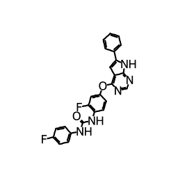 O=C(Nc1ccc(F)cc1)Nc1ccc(Oc2ncnc3[nH]c(-c4ccccc4)cc23)cc1F